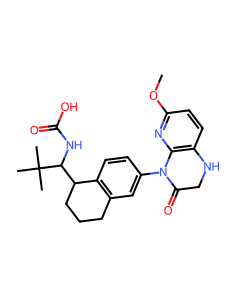 COc1ccc2c(n1)N(c1ccc3c(c1)CCCC3C(NC(=O)O)C(C)(C)C)C(=O)CN2